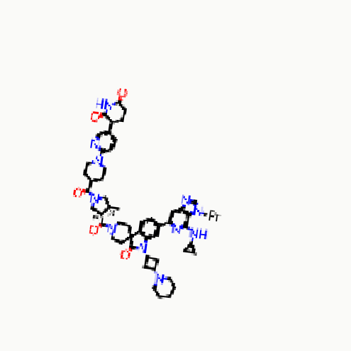 CC(C)n1cnc2cc(-c3ccc4c(c3)N([C@H]3C[C@@H](N5CCCCC5)C3)C(=O)C43CCN(C(=O)[C@H]4CN(C(=O)C5CCN(c6ccc(C7CCC(=O)NC7=O)cn6)CC5)C[C@H]4C)CC3)nc(NC3CC3)c21